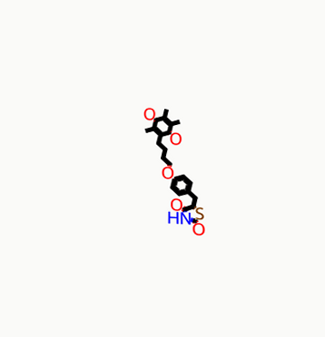 CC1=C(C)C(=O)C(CCCCOc2ccc(CC3SC(=O)NC3=O)cc2)=C(C)C1=O